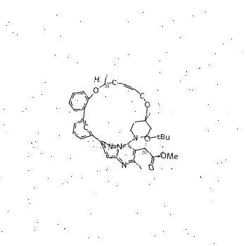 COC(=O)[C@@H](OC(C)(C)C)c1c(C)nc2cc3nn2c1N1CCC(C)(CC1)OCC=CC[C@H](C)Oc1ccccc1-c1cccc-3c1